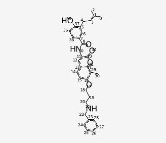 CC(C)=CCc1cc(C(=O)Nc2cc3ccc(OCCCNCc4ccccc4)c(C)c3oc2=O)ccc1O